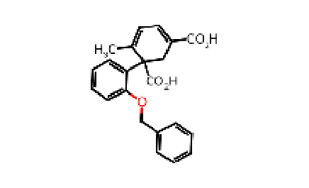 CC1=CC=C(C(=O)O)CC1(C(=O)O)c1ccccc1OCc1ccccc1